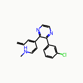 C=C/C=C(\C=C/NC)c1nccnc1-c1cccc(Cl)c1